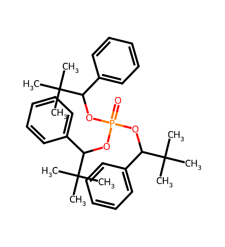 CC(C)(C)C(OP(=O)(OC(c1ccccc1)C(C)(C)C)OC(c1ccccc1)C(C)(C)C)c1ccccc1